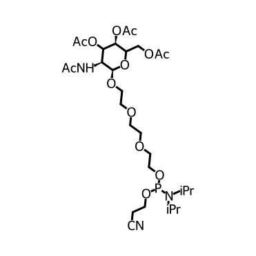 CC(=O)N[C@H]1C(OC(C)=O)[C@@H](OC(C)=O)C(COC(C)=O)O[C@H]1OCCOCCOCCOP(OCCC#N)N(C(C)C)C(C)C